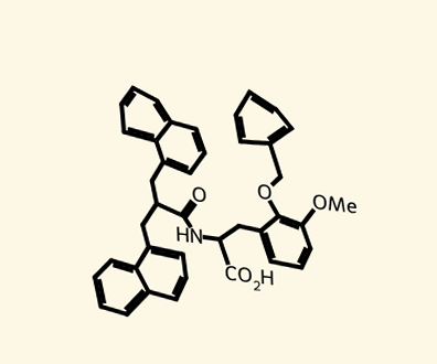 COc1cccc(CC(NC(=O)C(Cc2cccc3ccccc23)Cc2cccc3ccccc23)C(=O)O)c1OCc1ccccc1